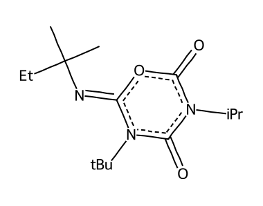 CCC(C)(C)/N=c1\oc(=O)n(C(C)C)c(=O)n1C(C)(C)C